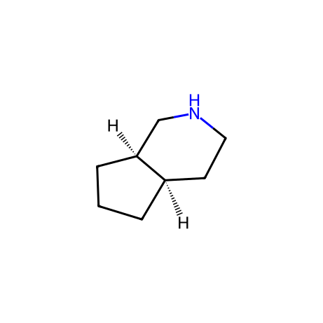 C1C[C@@H]2CCNC[C@@H]2C1